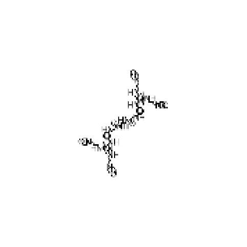 O=C(CNc1cccc(Nc2nc(NCCCN3CCOCC3)nc(NCCCN3CCOCC3)n2)c1)NCCNC(=O)CNc1cccc(Nc2nc(NCCCN3CCOCC3)nc(NCCCN3CCOCC3)n2)c1